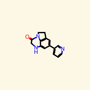 O=C1CNc2cc(-c3cccnc3)cc3c2N1CC3